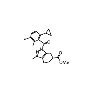 COC(=O)C1CCc2c(C)nn(C(=O)c3c(C4CC4)ccc(F)c3C)c2C1